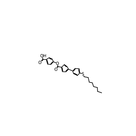 CCCCCCCCSc1ccc(-c2ccc(C(=O)Oc3ccc(C(=O)O)cc3)cc2)cc1